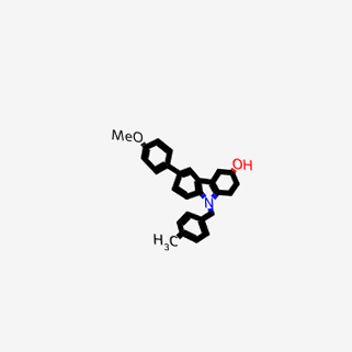 COc1ccc(-c2ccc3c(c2)c2c(n3Cc3ccc(C)cc3)CCC(O)C2)cc1